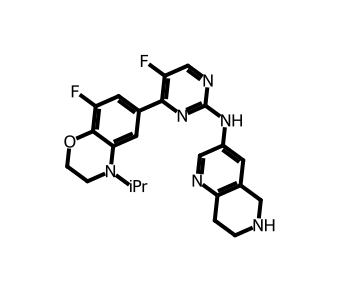 CC(C)N1CCOc2c(F)cc(-c3nc(Nc4cnc5c(c4)CNCC5)ncc3F)cc21